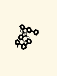 Cc1ccccc1-c1cccc2c3ccccc3n(-c3cccc4c3C(=O)N(c3cc(-c5ccccc5)ccc3-c3ccccc3)C4=O)c12